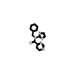 O=C(c1ccncn1)N(Cc1ccccc1)c1nccs1